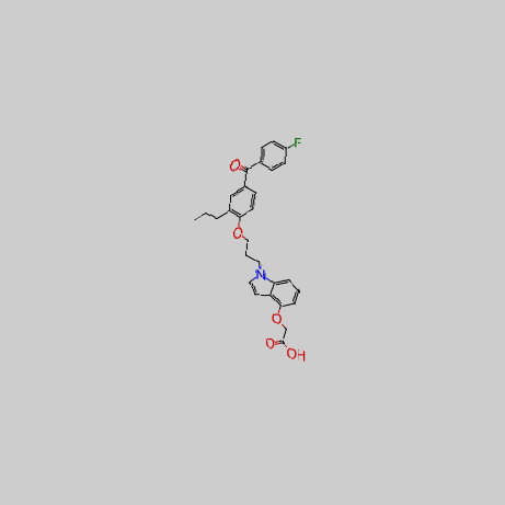 CCCc1cc(C(=O)c2ccc(F)cc2)ccc1OCCCn1ccc2c(OCC(=O)O)cccc21